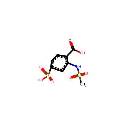 CS(=O)(=O)Nc1cc(S(=O)(=O)O)ccc1C(=O)O